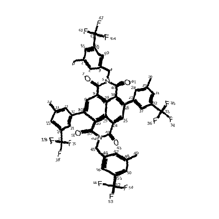 Cc1cc(CN2C(=O)c3cc(-c4cc(C)cc(C(F)(F)F)c4)c4c5c(cc(-c6cc(C)cc(C(F)(F)F)c6)c(c35)C2=O)C(=O)N(Cc2cc(C)cc(C(F)(F)F)c2)C4=O)cc(C(F)(F)F)c1